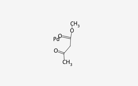 COC(=O)CC(C)=O.[Pd]